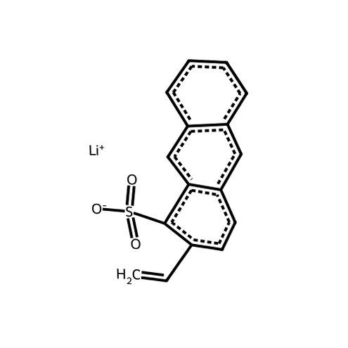 C=Cc1ccc2cc3ccccc3cc2c1S(=O)(=O)[O-].[Li+]